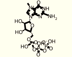 C[n+]1cn([C@@H]2O[C@H](COP(=O)(O)OP(=O)(O)OP(=O)([O-])O)[C@@H](O)[C@H]2O)c2nc(N)[nH]c(=O)c21